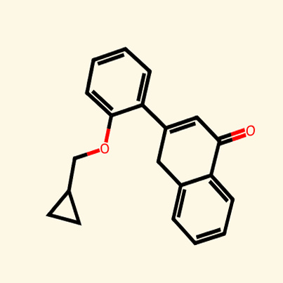 O=C1C=C(c2ccccc2OCC2CC2)Cc2ccccc21